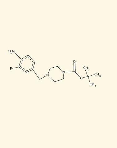 CC(C)(C)OC(=O)N1CCN(Cc2ccc(N)c(F)c2)CC1